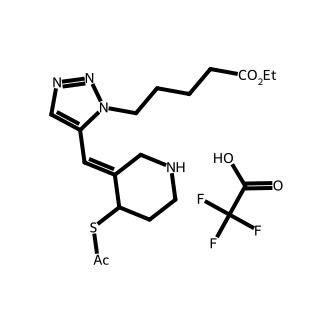 CCOC(=O)CCCCn1nncc1C=C1CNCCC1SC(C)=O.O=C(O)C(F)(F)F